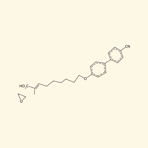 C1CO1.CC(=CCCCCCCOc1ccc(-c2ccc(C#N)cc2)cc1)C(=O)O